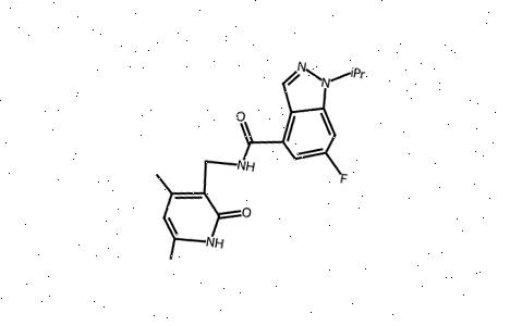 Cc1cc(C)c(CNC(=O)c2cc(F)cc3c2cnn3C(C)C)c(=O)[nH]1